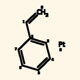 C=Cc1ccccc1.[Pt]